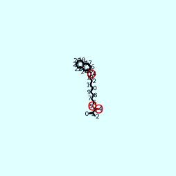 C=C(C)C(=O)OCCCCCCCCOc1ccc2ccccc2c1